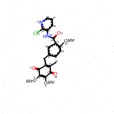 COC1=C(OC)C(=O)C(Cc2ccc(OC)c(C(=O)Nc3cccnc3Cl)c2)=C(C)C1=O